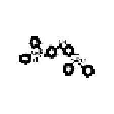 NC(c1ccc(OP(=O)(Oc2ccccc2)Oc2ccccc2)cc1)c1ccc(OP(=O)(Oc2ccccc2)Oc2ccccc2)cc1